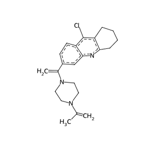 C=C(C)N1CCN(C(=C)c2ccc3c(Cl)c4c(nc3c2)CCCC4)CC1